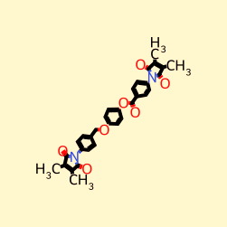 CC1=C(C)C(=O)N(c2ccc(COc3ccc(OC(=O)c4ccc(N5C(=O)C(C)=C(C)C5=O)cc4)cc3)cc2)C1=O